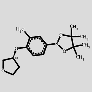 Cc1cc(B2OC(C)(C)C(C)(C)O2)ccc1O[C@H]1CCOC1